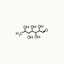 CC(O)[C@@H](O)[C@@H](O)[C@H](O)[C@@H](O)C=O